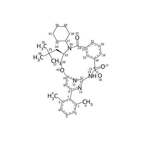 Cc1cccc(C)c1-c1cc2nc(n1)NS(=O)(=O)c1cccc(c1)C(=O)N(C1CCCCC1)[C@H](CC(C)(C)C)CO2